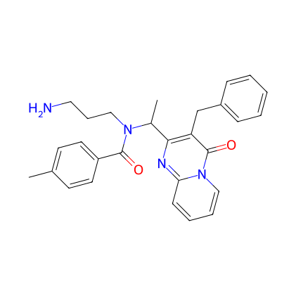 Cc1ccc(C(=O)N(CCCN)C(C)c2nc3ccccn3c(=O)c2Cc2ccccc2)cc1